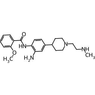 CNCCN1CCC(c2ccc(NC(=O)c3ccccc3OC)c(N)c2)CC1